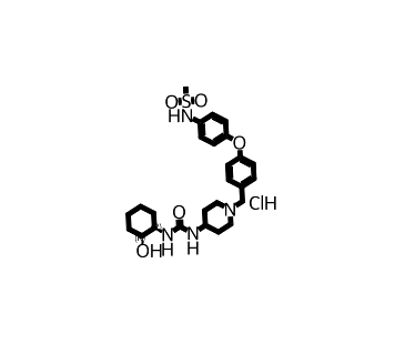 CS(=O)(=O)Nc1ccc(Oc2ccc(CN3CCC(NC(=O)N[C@@H]4CCCC[C@H]4O)CC3)cc2)cc1.Cl